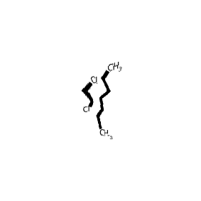 CCCCCCC.ClCCCl